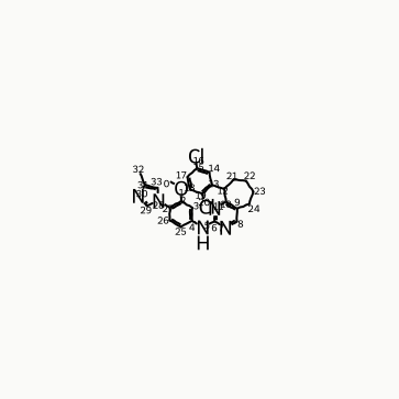 COc1cc(Nc2ncc3c(n2)C(c2cc(Cl)ccc2Cl)CCCC3)ccc1-n1cnc(C)c1